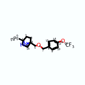 CCCC12CCC(COCc3ccc(OC(F)(F)F)cc3)(CC1)N2